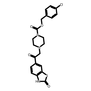 O=C(CN1CCN(C(=O)OCc2ccc(Cl)cc2)CC1)c1ccc2[nH]c(=O)sc2c1